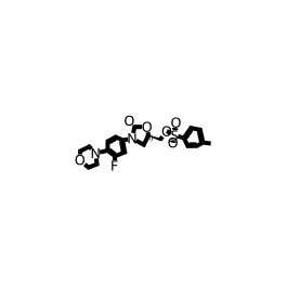 Cc1ccc(S(=O)(=O)OC[C@H]2CN(c3ccc(N4CCOCC4)c(F)c3)C(=O)O2)cc1